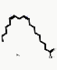 CCCCC/C=C\C/C=C\CCCCCCCC(=O)O.[Ru]